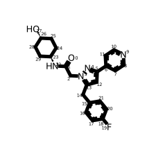 O=C(Cn1nc(-c2ccncc2)cc1Cc1ccc(F)cc1)N[C@H]1CC[C@@H](O)CC1